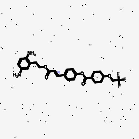 Nc1ccc(N)c(CCOC(=O)/C=C/c2ccc(OC(=O)C3CCC(OCC(F)(F)F)CC3)cc2)c1